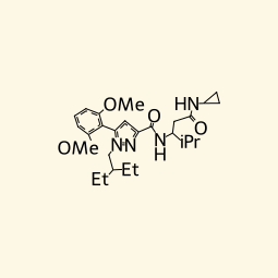 CCC(CC)Cn1nc(C(=O)NC(CC(=O)NC2CC2)C(C)C)cc1-c1c(OC)cccc1OC